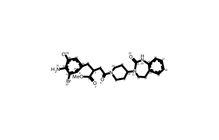 COC(=O)C(CC(=O)N1CCC(N2CCc3ccccc3NC2=O)CC1)Cc1cc(Cl)c(N)c(Br)c1